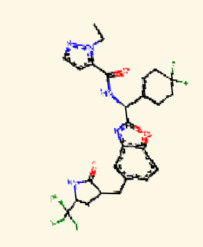 CCn1nccc1C(=O)N[C@H](c1nc2cc(C[C@H]3C[C@@H](C(F)(F)F)NC3=O)ccc2o1)C1CCC(F)(F)CC1